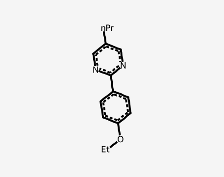 CCCc1cnc(-c2ccc(OCC)cc2)nc1